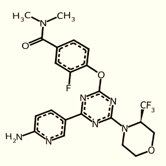 CN(C)C(=O)c1ccc(Oc2nc(-c3ccc(N)nc3)nc(N3CCOC[C@@H]3C(F)(F)F)n2)c(F)c1